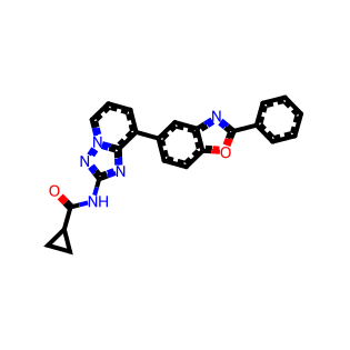 O=C(Nc1nc2c(-c3ccc4oc(-c5ccccc5)nc4c3)cccn2n1)C1CC1